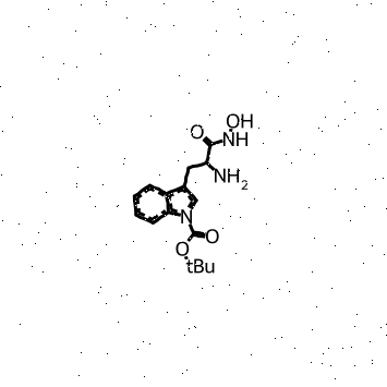 CC(C)(C)OC(=O)n1cc(CC(N)C(=O)NO)c2ccccc21